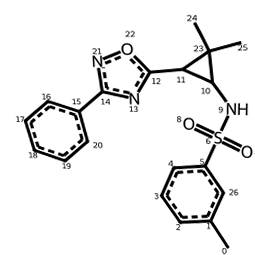 Cc1cccc(S(=O)(=O)NC2C(c3nc(-c4ccccc4)no3)C2(C)C)c1